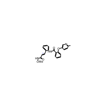 CONC(=O)/C=C/c1ccccc1NC(=O)c1ccccc1Oc1ccc(C)nc1